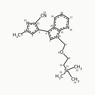 Cn1cc(-c2cn(COCC[Si](C)(C)C)c3ncccc23)c(C#N)n1